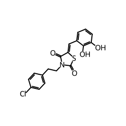 O=C1SC(=Cc2cccc(O)c2O)C(=O)N1CCc1ccc(Cl)cc1